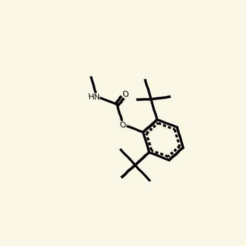 CNC(=O)Oc1c(C(C)(C)C)cccc1C(C)(C)C